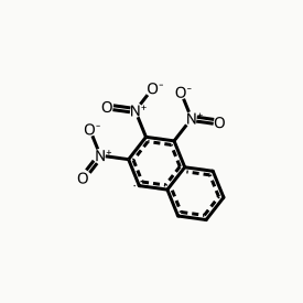 O=[N+]([O-])c1[c]c2ccccc2c([N+](=O)[O-])c1[N+](=O)[O-]